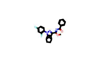 CO/C(=N\C(=O)c1ccccc1)c1nn(-c2ccc(F)cc2F)c2c1C1CCC2C1